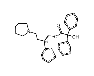 O=C(OC[C@H](CCN1CCCCC1)c1ccccn1)C(O)(c1ccccc1)c1ccccc1